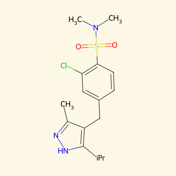 Cc1n[nH]c(C(C)C)c1Cc1ccc(S(=O)(=O)N(C)C)c(Cl)c1